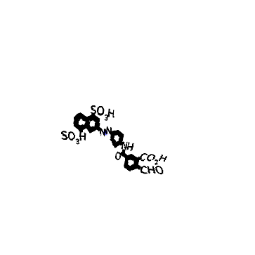 O=Cc1ccc(C(=O)Nc2ccc(/N=N/c3cc(S(=O)(=O)O)c4cccc(S(=O)(=O)O)c4c3)cc2)cc1C(=O)O